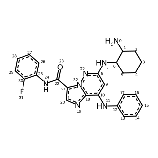 NC1CCCCC1Nc1cc(Nc2ccccc2)c2ncc(C(=O)Nc3ccccc3F)n2n1